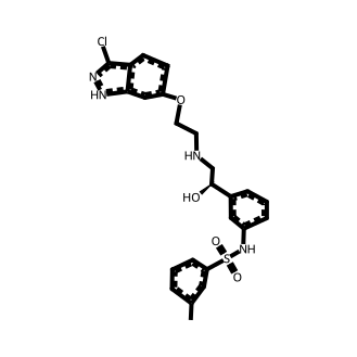 Cc1cccc(S(=O)(=O)Nc2cccc([C@@H](O)CNCCOc3ccc4c(Cl)n[nH]c4c3)c2)c1